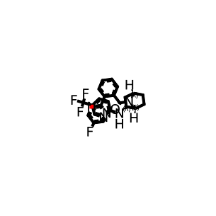 O=C(c1ccccc1-c1ncc(F)cn1)N1[C@@H]2CC[C@H]1[C@H](Nc1ccc(C(F)(F)F)cn1)C2